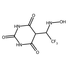 O=C1NC(=O)C(C(NO)C(F)(F)F)C(=O)N1